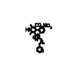 CC1=C(C(=O)O)C(c2cccc([N+](=O)[O-])c2)C(c2nc(CN(C)Cc3cccnc3)no2)=C(C)N1